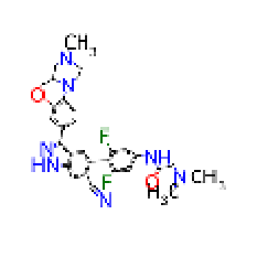 CN(C)CC(=O)Nc1cc(F)c(-c2cc3c(-c4ccc5c(c4)OCC4CN(C)CCN54)n[nH]c3cc2C#N)c(F)c1